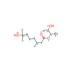 CCC(OC(=O)CC(C)CCCC(C)(C)O)C(C)O